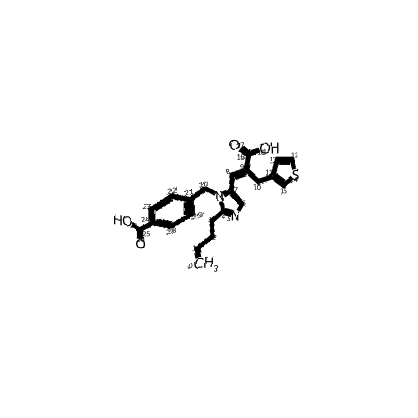 CCCCc1ncc(/C=C(\Cc2ccsc2)C(=O)O)n1Cc1ccc(C(=O)O)cc1